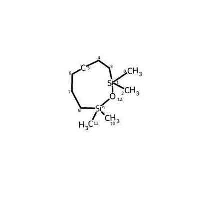 C[Si]1(C)CCCCCC[Si](C)(C)O1